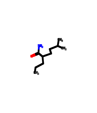 CCCC(CCC(C)C)C(N)=O